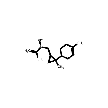 C=C(C)N(CCC)CC1CC1(C)C1CC=C(C)CC1